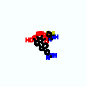 O=C(O)c1c(C(=O)O)c2c(C(=O)O)ccc3c4cccc5cccc(c(c1C(=O)O)c23)c54.S.c1ccc2[nH]cnc2c1.c1ccc2[nH]cnc2c1